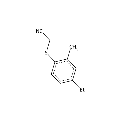 CCc1ccc(SCC#N)c(C)c1